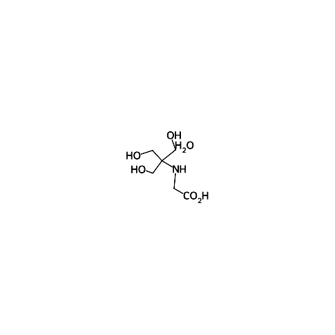 O.O=C(O)CNC(CO)(CO)CO